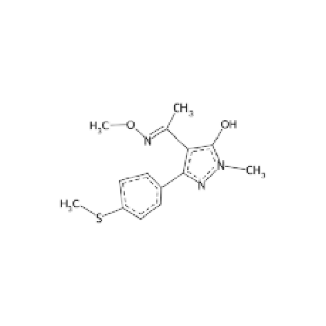 CON=C(C)c1c(-c2ccc(SC)cc2)nn(C)c1O